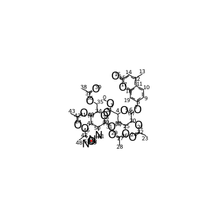 COC(=O)C1O[C@@H](Oc2ccc3c(C)cc(=O)oc3c2)C(OC(C)=O)C(OC(C)=O)[C@@H]1O[C@H]1OC(COC(C)=O)[C@@H](OC(C)=O)C(OC(C)=O)C1N=[N+]=[N-]